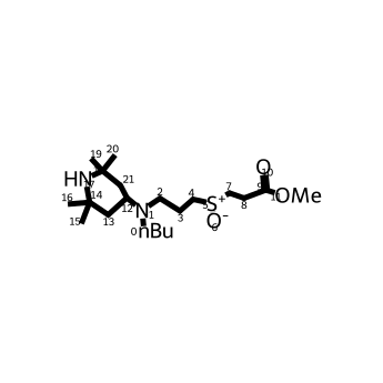 CCCCN(CCC[S+]([O-])CCC(=O)OC)C1CC(C)(C)NC(C)(C)C1